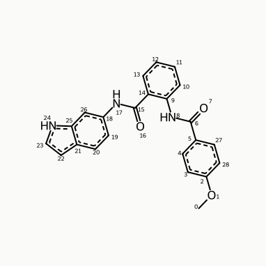 COc1ccc(C(=O)Nc2ccccc2C(=O)Nc2ccc3cc[nH]c3c2)cc1